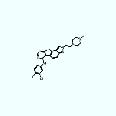 CN1CCN(CCn2cc3c(ccc4c3sc3ncnc(Nc5ccc(F)c(Cl)c5)c34)n2)CC1